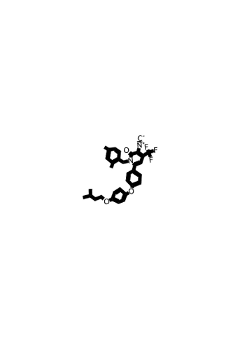 [C-]#[N+]c1c(C(F)(F)F)cc(-c2ccc(Oc3ccc(OCCC(C)C)cc3)cc2)n(Cc2ccc(C)cc2C)c1=O